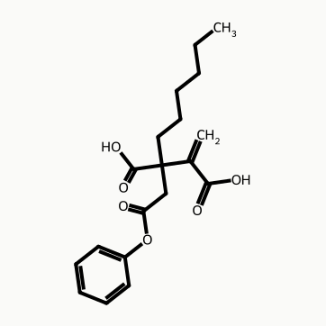 C=C(C(=O)O)C(CCCCCC)(CC(=O)Oc1ccccc1)C(=O)O